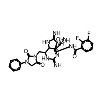 N=C1NC2C(CN3C(=O)CN(c4ccccc4)C3=O)NC(=N)N3CC(NC(=O)c4cccc(F)c4F)C(O)(O)[C@]23N1